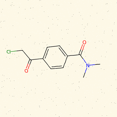 CN(C)C(=O)c1ccc(C(=O)CCl)cc1